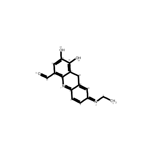 CC/N=C1/C=CC2=Nc3c(C=O)cc(O)c(O)c3CC2=C1